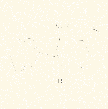 C.CCCCc1cccc(-c2ccccc2)c1OC